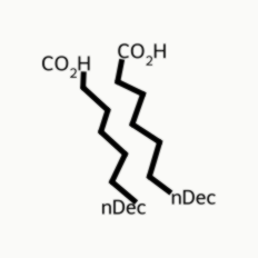 CCCCCCCCCCCCCCCC(=O)O.CCCCCCCCCCCCCCCC(=O)O